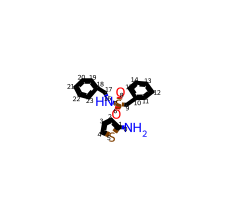 Nc1cccs1.O=S(=O)(Cc1ccccc1)NCc1ccccc1